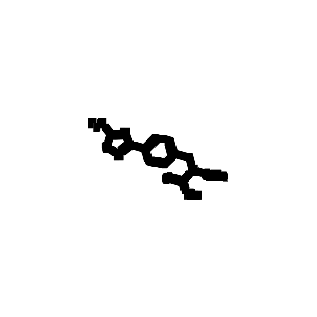 CCC(C)C(=O)N(Cc1ccc(-c2noc(C(F)(F)F)n2)cc1)OC